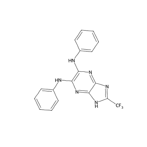 FC(F)(F)c1nc2nc(Nc3ccccc3)c(Nc3ccccc3)nc2[nH]1